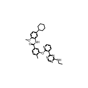 CCNc1ncnc(-c2cccnc2Oc2cc(C(=O)Nc3cc(C4CCCCC4)ccc3OC)ccc2C)n1